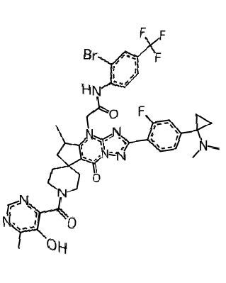 Cc1ncnc(C(=O)N2CCC3(CC2)CC(C)c2c3c(=O)n3nc(-c4ccc(C5(N(C)C)CC5)cc4F)nc3n2CC(=O)Nc2ccc(C(F)(F)F)cc2Br)c1O